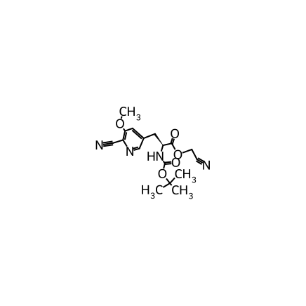 COc1cc(C[C@H](NC(=O)OC(C)(C)C)C(=O)OCC#N)cnc1C#N